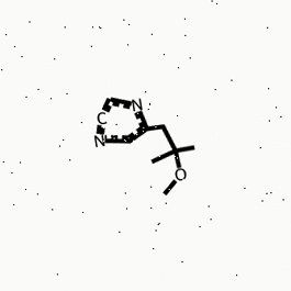 COC(C)(C)Cc1cnccn1